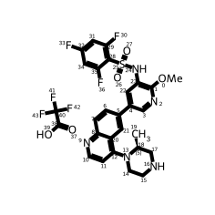 COc1ncc(-c2ccc3nccc(N4CCNC[C@@H]4C)c3c2)cc1NS(=O)(=O)c1c(F)cc(F)cc1F.O=C(O)C(F)(F)F